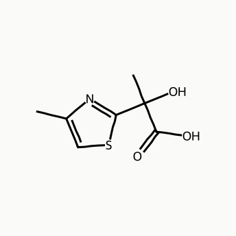 Cc1csc(C(C)(O)C(=O)O)n1